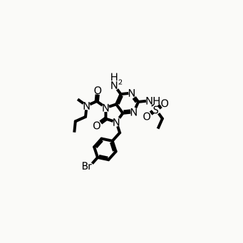 CCCN(C)C(=O)n1c(=O)n(Cc2ccc(Br)cc2)c2nc(NS(=O)(=O)CC)nc(N)c21